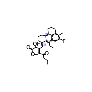 CCCC(=O)C1=C(/C=C(C)/C(C(/CC)=C2/CCCc3c(C)c(F)cc(C)c32)=C(/C)CC)C(O)C(=O)OC1